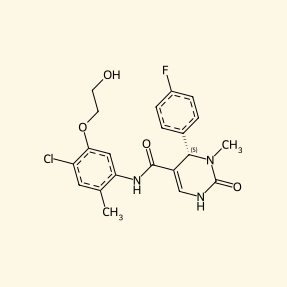 Cc1cc(Cl)c(OCCO)cc1NC(=O)C1=CNC(=O)N(C)[C@H]1c1ccc(F)cc1